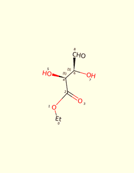 CCOC(=O)[C@@H](O)[C@H](O)C=O